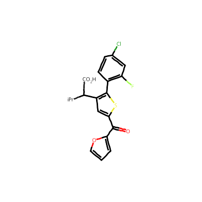 CC(C)C(C(=O)O)c1cc(C(=O)c2ccco2)sc1-c1ccc(Cl)cc1F